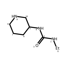 CCNC(=O)NC1CCCNC1